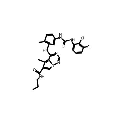 CCCNC(=O)c1cn2ncnc(Nc3cc(NC(=O)Nc4cccc(Cl)c4Cl)ccc3C)c2c1C